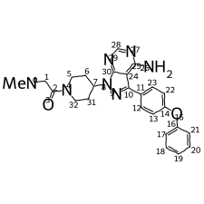 CNCC(=O)N1CCC(n2nc(-c3ccc(Oc4ccccc4)cc3)c3c(N)ncnc32)CC1